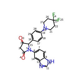 O=C1CC(=O)N(c2ccc3[nH]cnc3c2)C1c1ccc(N2CCC(F)(F)CC2)cc1